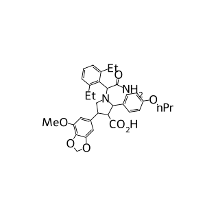 CCCOc1ccc(C2C(C(=O)O)C(c3cc(OC)c4c(c3)OCO4)CN2C(C(N)=O)c2c(CC)cccc2CC)cc1